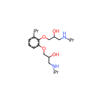 CC(C)NCC(O)COc1cccc(C(C)C)c1OCC(O)CNC(C)C